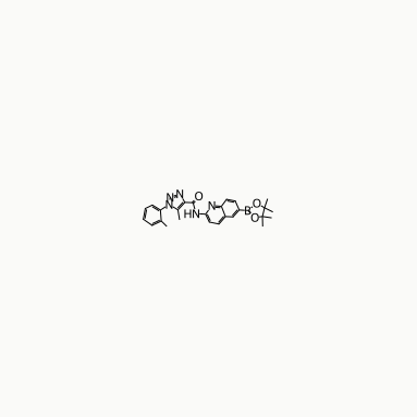 Cc1ccccc1-n1nnc(C(=O)Nc2ccc3cc(B4OC(C)(C)C(C)(C)O4)ccc3n2)c1C